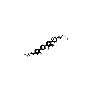 C/C=C/C1CCC(c2ccc(-c3ccc(-c4ccc(CCC)c(F)c4F)cc3)c(F)c2F)OC1